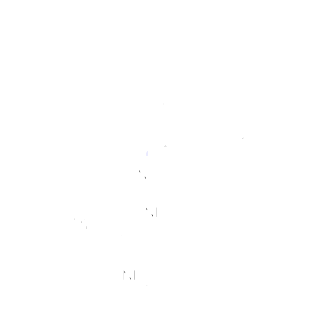 C=CCC1CCCC/C1=N\NC(N)=S